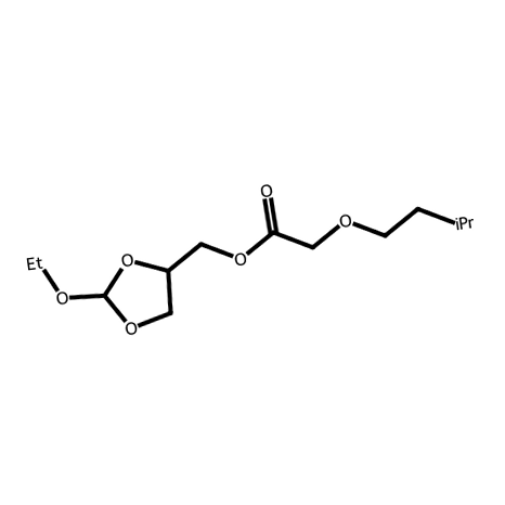 CCOC1OCC(COC(=O)COCCC(C)C)O1